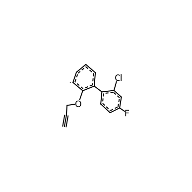 C#CCOc1[c]cccc1-c1ccc(F)cc1Cl